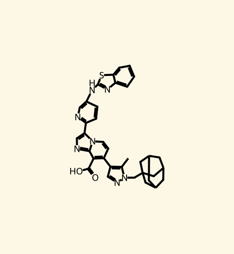 Cc1c(-c2ccn3c(-c4ccc(Nc5nc6ccccc6s5)cn4)cnc3c2C(=O)O)cnn1CC12CC3CC(CC(C3)C1)C2